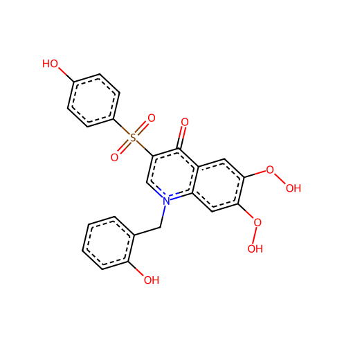 O=c1c(S(=O)(=O)c2ccc(O)cc2)cn(Cc2ccccc2O)c2cc(OO)c(OO)cc12